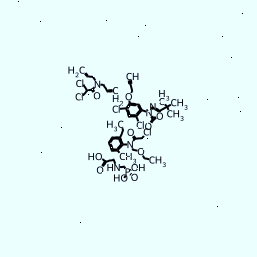 C#CCOc1cc(-n2nc(C(C)(C)C)oc2=O)c(Cl)cc1Cl.C=CCN(CC=C)C(=O)C(Cl)Cl.CCOCN(C(=O)CCl)c1c(C)cccc1CC.O=C(O)CNCP(=O)(O)O